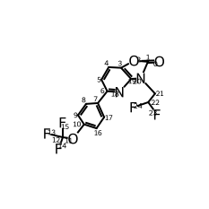 O=c1oc2ccc(-c3ccc(OC(F)(F)F)cc3)nc2n1CC(F)F